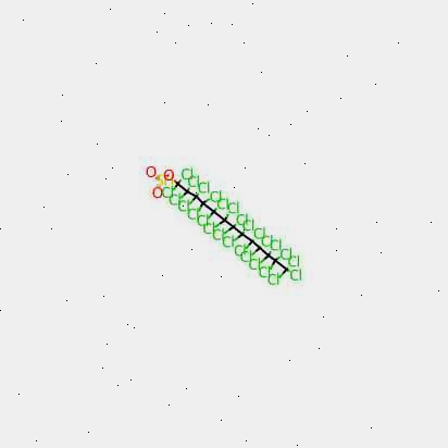 O=[SH](=O)OC(Cl)(Cl)C(Cl)(Cl)C(Cl)(Cl)C(Cl)(Cl)C(Cl)(Cl)C(Cl)(Cl)C(Cl)(Cl)C(Cl)(Cl)C(Cl)(Cl)C(Cl)(Cl)C(Cl)(Cl)C(Cl)(Cl)C(Cl)(Cl)Cl